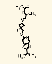 CC(=O)N[C@@H](C)CO[C@H]1C[C@](F)(COc2cc3sc(C(C)C)nc3cn2)C1